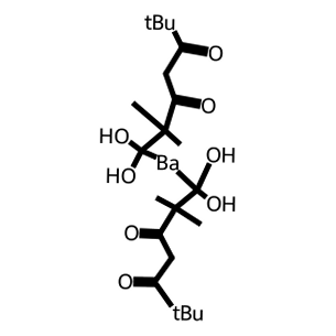 CC(C)(C)C(=O)CC(=O)C(C)(C)[C](O)(O)[Ba][C](O)(O)C(C)(C)C(=O)CC(=O)C(C)(C)C